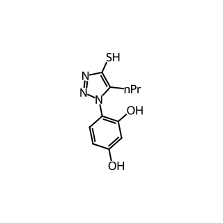 CCCc1c(S)nnn1-c1ccc(O)cc1O